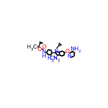 Cc1cc(NC(=O)O[C@H](C)C2CC2)ccc1-c1c(N)c2ccc(Oc3ncccc3N)cc2n1CC1CC1